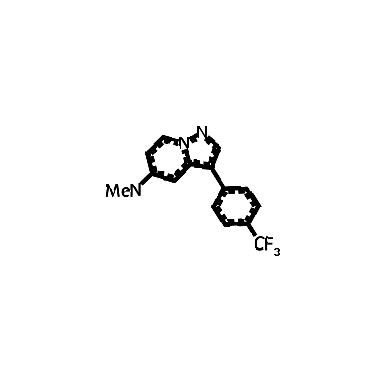 CNc1ccn2ncc(-c3ccc(C(F)(F)F)cc3)c2c1